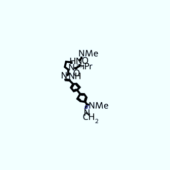 C=N/C=C(\NC)c1ccc(-c2ccc(-c3cnc(C4CCCN4C(=O)[C@@H](NC(=O)NC)C(C)C)[nH]3)cc2)cc1